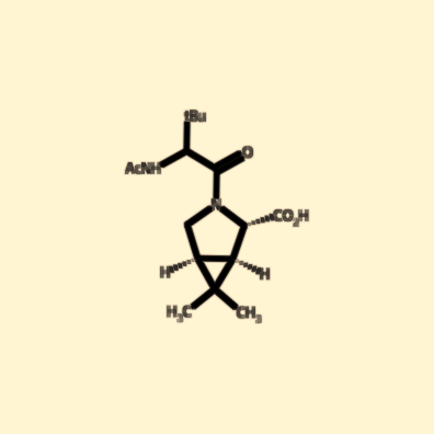 CC(=O)NC(C(=O)N1C[C@H]2[C@@H]([C@H]1C(=O)O)C2(C)C)C(C)(C)C